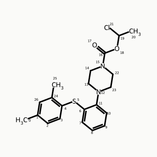 Cc1ccc(Sc2ccccc2N2CCN(C(=O)OC(C)Cl)CC2)c(C)c1